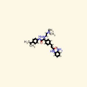 CC(C)c1ccc(NC(=O)C(NCCN(C)C)c2ccc(C=CC(=O)Nc3ccccc3N)cc2)cc1